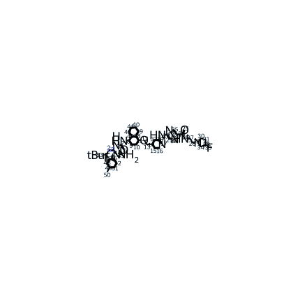 CCC(/C=C(/NC(=O)Nc1ccc(OCc2ccnc(Nc3cnc(C(=O)NCCN4CC[C@@H](F)C4)cn3)c2)c2ccccc12)N(N)c1ccc(C)cc1)C(C)(C)C